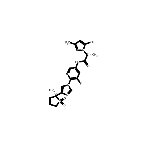 Cc1cc(C(F)(F)F)nn1[C@H](C)C(=O)Nc1cnc(-n2cnc([C@]3(C)CCCS3(=O)=O)c2)c(F)c1